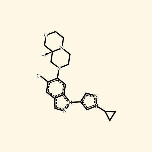 Clc1cc2cnn(-c3cnn(C4CC4)c3)c2cc1N1CCN2CCOC[C@H]2C1